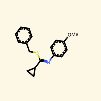 COc1ccc(N=C(SCc2ccccc2)C2CC2)cc1